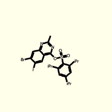 Cc1nc(OS(=O)(=O)c2c(C(C)C)cc(C(C)C)cc2C(C)C)c2cc(I)c(Br)cc2n1